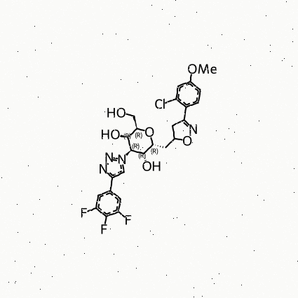 COc1ccc(C2=NOC(C[C@H]3O[C@H](CO)[C@H](O)[C@H](n4cc(-c5cc(F)c(F)c(F)c5)nn4)[C@H]3O)C2)c(Cl)c1